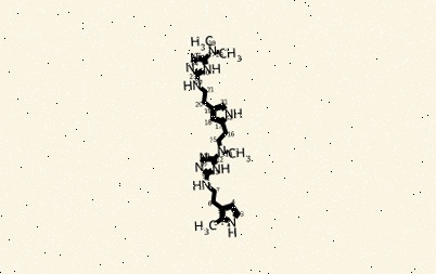 Cc1[nH]ccc1CCNc1nnc(N(C)CCc2cc(CCNc3nnc(N(C)C)[nH]3)c[nH]2)[nH]1